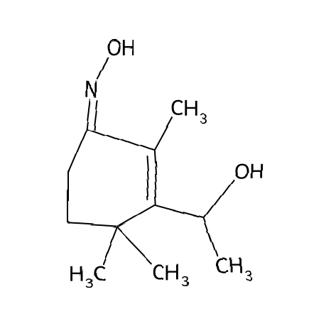 CC1=C(C(C)O)C(C)(C)CC/C1=N/O